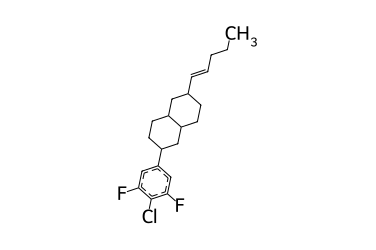 CCCC=CC1CCC2CC(c3cc(F)c(Cl)c(F)c3)CCC2C1